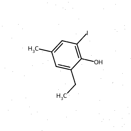 CCc1cc(C)cc(I)c1O